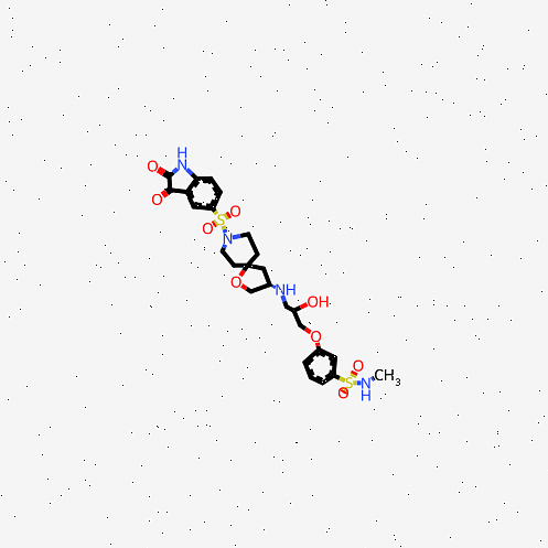 CNS(=O)(=O)c1cccc(OCC(O)CN[C@H]2COC3(CCN(S(=O)(=O)c4ccc5c(c4)C(=O)C(=O)N5)CC3)C2)c1